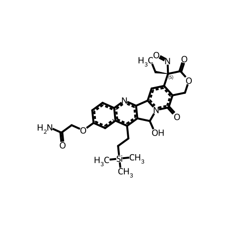 CC[C@@]1(N=O)C(=O)OCc2c1cc1n(c2=O)C(O)c2c-1nc1ccc(OCC(N)=O)cc1c2CC[Si](C)(C)C